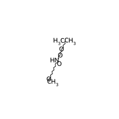 COCCCCCCCCC(=O)NCCOCCOCCCC(C)C